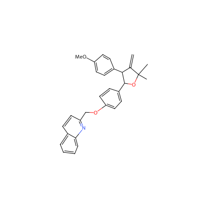 C=C1C(c2ccc(OC)cc2)C(c2ccc(OCc3ccc4ccccc4n3)cc2)OC1(C)C